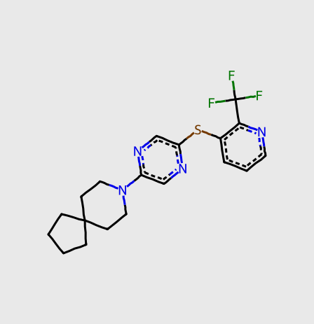 FC(F)(F)c1ncccc1Sc1cnc(N2CCC3(CCCC3)CC2)cn1